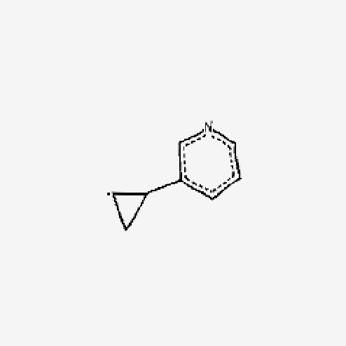 [CH]1CC1c1cccnc1